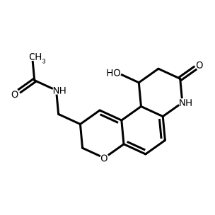 CC(=O)NCC1C=C2C(=CC=C3NC(=O)CC(O)C32)OC1